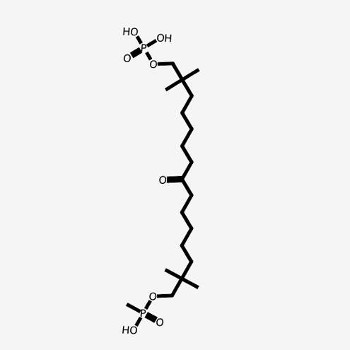 CC(C)(CCCCCC(=O)CCCCCC(C)(C)COP(=O)(O)O)COP(C)(=O)O